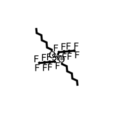 CCCCCCC[O][Sn]([O]CCCCCCC)([CH](F)C(F)(F)C(F)(F)C(F)F)[CH](F)C(F)(F)C(F)(F)C(F)F